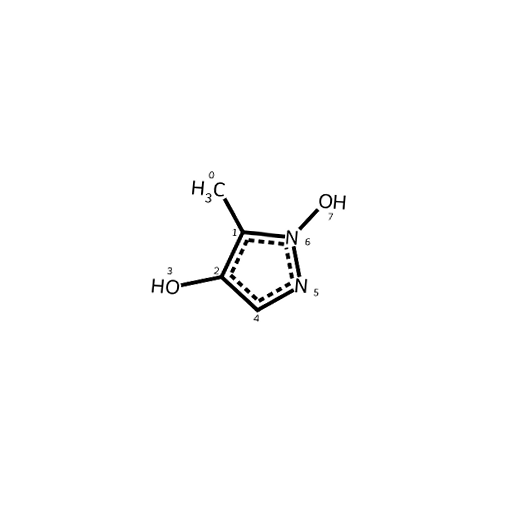 Cc1c(O)cnn1O